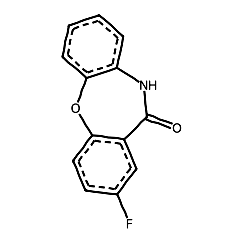 O=C1Nc2ccccc2Oc2ccc(F)cc21